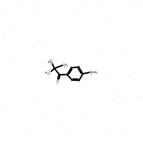 CC(=O)Nc1ccc(C(=O)C(C)(C)O)cc1